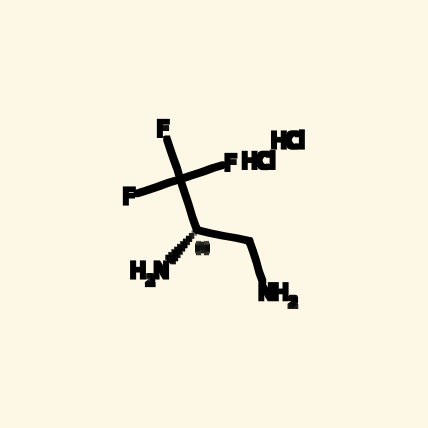 Cl.Cl.NC[C@H](N)C(F)(F)F